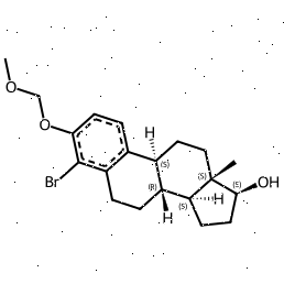 COCOc1ccc2c(c1Br)CC[C@@H]1[C@@H]2CC[C@]2(C)[C@@H](O)CC[C@@H]12